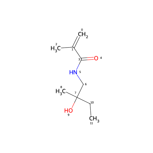 C=C(C)C(=O)NCC(C)(O)CC